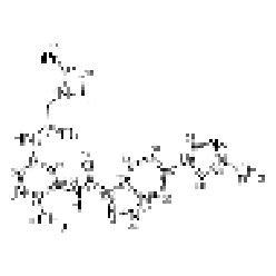 Cc1ncc(NC(=O)CN2CCC2C(C)C)cc1NC(=O)c1nnn2cc(-c3cnn(C)c3)ccc12